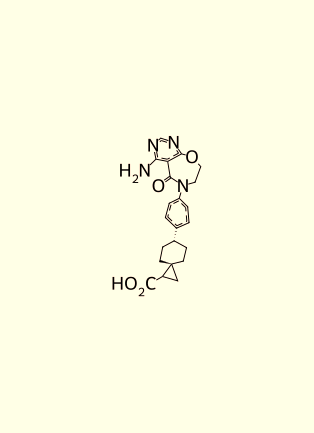 Nc1ncnc2c1C(=O)N(c1ccc([C@H]3CC[C@@]4(CC3)CC4C(=O)O)cc1)CCO2